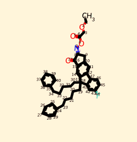 CCOCC(=O)O/N=C1\Cc2cc3c(cc2C1=O)C(CCCCCc1ccccc1)(CCCCCc1ccccc1)c1cc(F)ccc1-3